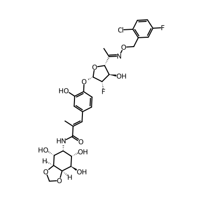 C/C(=C\c1ccc(O[C@@H]2O[C@H](/C(C)=N/OCc3cc(F)ccc3Cl)[C@@H](O)[C@@H]2F)c(O)c1)C(=O)N[C@@H]1[C@H](O)[C@@H](O)[C@H]2OCO[C@H]2[C@@H]1O